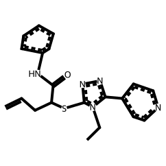 C=CCC(Sc1nnc(-c2ccncc2)n1CC)C(=O)Nc1ccccc1